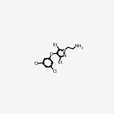 CCc1nn(CCN)c(CC)c1Oc1cc(Cl)cc(Cl)c1